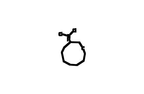 Cl[SiH](Cl)C1CCCCCCCCC1